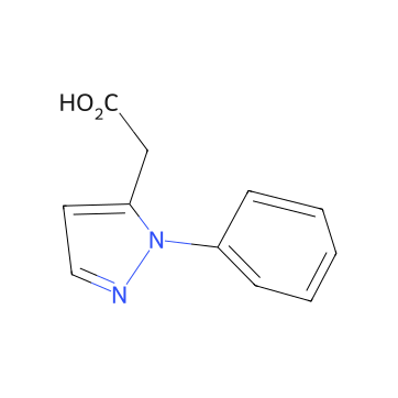 O=C(O)Cc1ccnn1-c1ccccc1